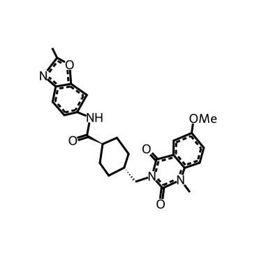 COc1ccc2c(c1)c(=O)n(C[C@H]1CC[C@H](C(=O)Nc3ccc4nc(C)oc4c3)CC1)c(=O)n2C